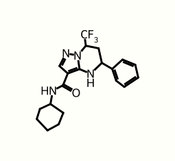 O=C(NC1CCCCC1)c1cnn2c1NC(c1ccccc1)CC2C(F)(F)F